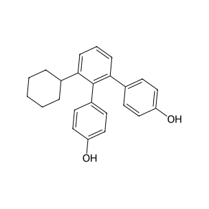 Oc1ccc(-c2cccc(C3CCCCC3)c2-c2ccc(O)cc2)cc1